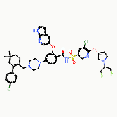 CC1(C)CCC(CN2CCN(c3ccc(C(=O)NS(=O)(=O)c4cnc(O[C@@H]5CCN(C(CF)CF)C5)c(Cl)c4)c(Oc4cnc5[nH]ccc5c4)c3)CC2)=C(c2ccc(Cl)cc2)C1